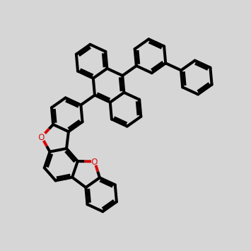 c1ccc(-c2cccc(-c3c4ccccc4c(-c4ccc5oc6ccc7c8ccccc8oc7c6c5c4)c4ccccc34)c2)cc1